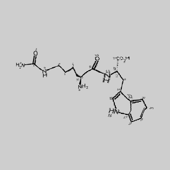 NC(=O)NCCC[C@H](N)C(=O)N[C@@H](Cc1c[nH]c2ccccc12)C(=O)O